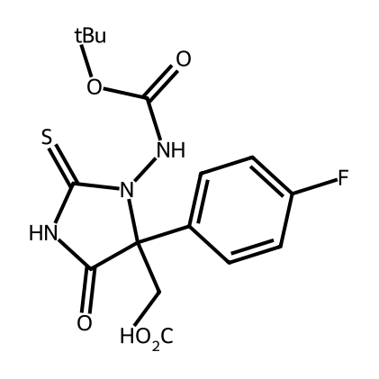 CC(C)(C)OC(=O)NN1C(=S)NC(=O)C1(CC(=O)O)c1ccc(F)cc1